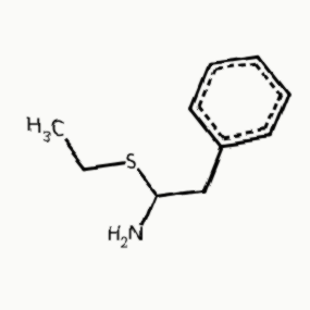 CCSC(N)Cc1ccccc1